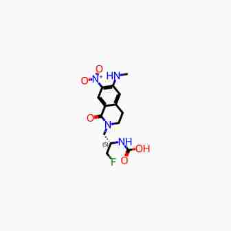 CNc1cc2c(cc1[N+](=O)[O-])C(=O)N(C[C@@H](CF)NC(=O)O)CC2